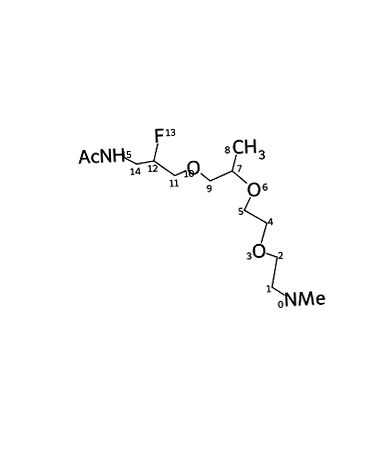 CNCCOCCOC(C)COCC(F)CNC(C)=O